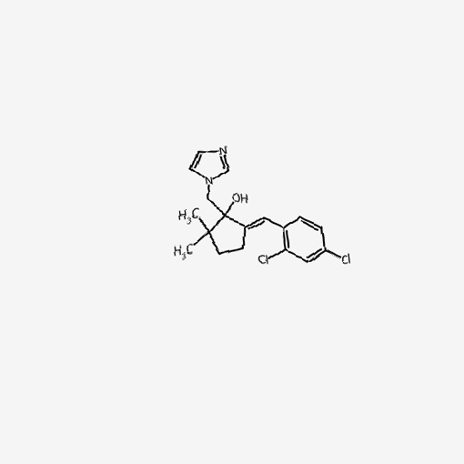 CC1(C)CCC(=Cc2ccc(Cl)cc2Cl)C1(O)Cn1ccnc1